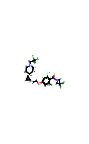 O=C(c1c(F)cc(OCC[C@@H]2C[C@@H]2C2CCN(CC(F)(F)F)CC2)cc1F)N1CC(F)(F)C1